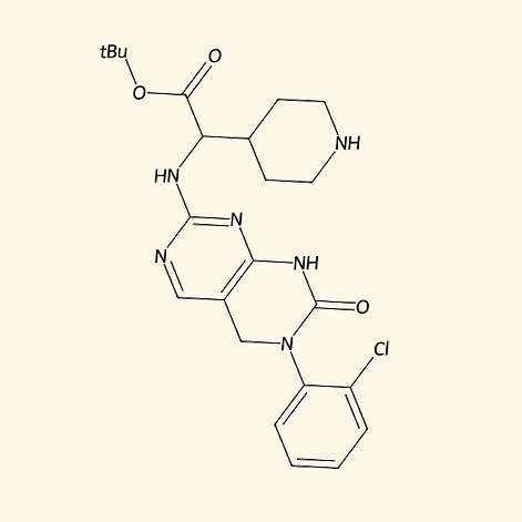 CC(C)(C)OC(=O)C(Nc1ncc2c(n1)NC(=O)N(c1ccccc1Cl)C2)C1CCNCC1